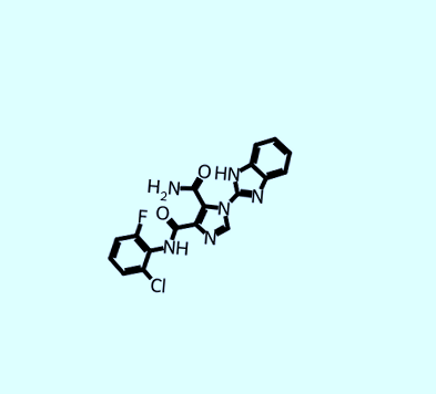 NC(=O)c1c(C(=O)Nc2c(F)cccc2Cl)ncn1-c1nc2ccccc2[nH]1